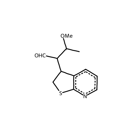 CO[C](C)C(C=O)C1CSc2ncccc21